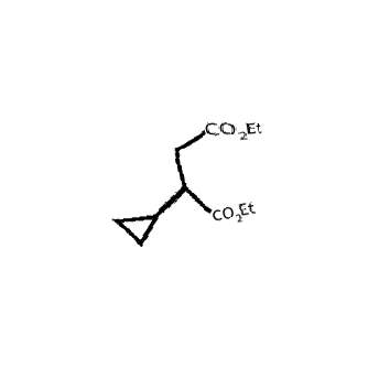 CCOC(=O)CC(C(=O)OCC)C1CC1